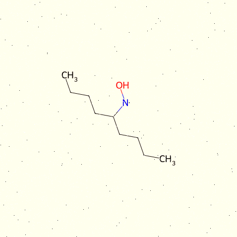 CCCCC(CCCC)[N]O